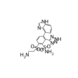 NCCS(=O)(=O)c1ccc(-c2cccc3[nH]cnc23)c(-c2nn[nH]n2)c1S(N)(=O)=O